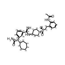 CC(=O)Nc1ccccc1CCS(=O)(=O)N1CCC(NC(=N)c2cccc(N(C(N)=O)C3CCCCCC3)c2)CC1